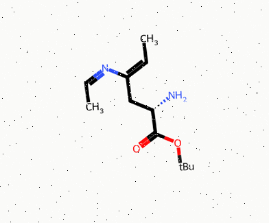 C/C=N\C(=C/C)C[C@H](N)C(=O)OC(C)(C)C